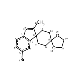 CC1=Nc2ccc(Br)cc2C12CCC1(CC2)OCCO1